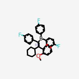 COc1ccccc1/C(=C(\B(c1ccc(F)cc1)c1ccc(F)cc1)c1ccc(F)cc1)C1CCCCC1